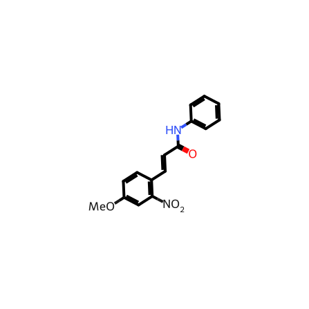 COc1ccc(/C=C/C(=O)Nc2ccccc2)c([N+](=O)[O-])c1